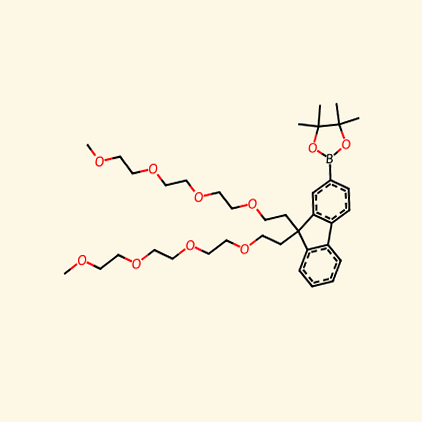 COCCOCCOCCOCCC1(CCOCCOCCOCCOC)c2ccccc2-c2ccc(B3OC(C)(C)C(C)(C)O3)cc21